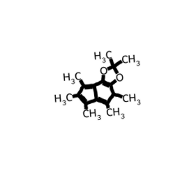 CC1=C(C)C2=C(C)C(C)C3=C(OC(C)(C)O3)C2=C1C